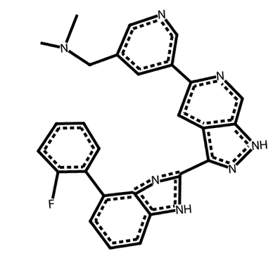 CN(C)Cc1cncc(-c2cc3c(-c4nc5c(-c6ccccc6F)cccc5[nH]4)n[nH]c3cn2)c1